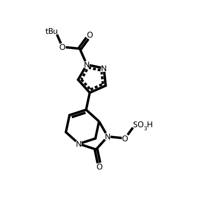 CC(C)(C)OC(=O)n1cc(C2=CCN3CC2N(OS(=O)(=O)O)C3=O)cn1